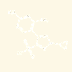 CC(C)S(=O)(=O)c1nn(C2CC2)cc1-c1cnc(N)nc1N